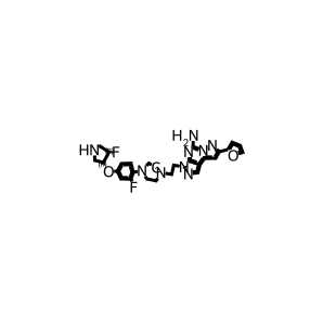 Nc1nc2c(cnn2CCN2CCN(c3ccc(O[C@@H]4CNC[C@H]4F)cc3F)CC2)c2cc(-c3ccco3)nn12